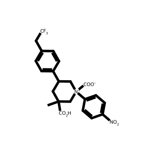 CC1(C(=O)O)CC(c2ccc(CC(F)(F)F)cc2)C[N+](C(=O)[O-])(c2ccc([N+](=O)[O-])cc2)C1